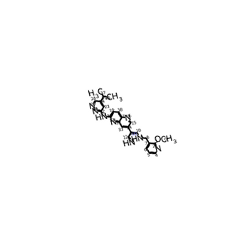 COc1ncccc1CN/C=C(\C=N)c1cnc2ccc(Nc3cc(C(C)C)cnn3)nc2c1